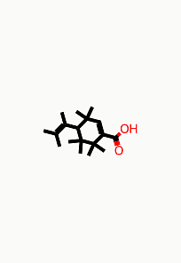 CC(C)=C(C)C1C(C)(C)C=C(C(=O)O)C(C)(C)C1(C)C